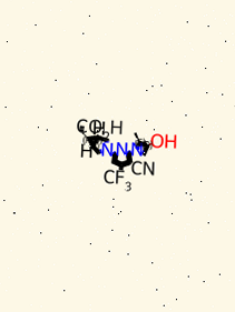 C[C@H]1[C@H](O)CN1c1nc(N2C[C@@H]3[C@H](CC(=O)O)[C@@H]3C2)cc(C(F)(F)F)c1C#N